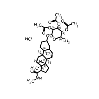 CNC(=O)C1CC[C@@]2(N)[C@@H]3CCC4CC(O[C@@H]5O[C@H](C)[C@@H](OC(C)=O)[C@H](OC(C)=O)[C@@H]5OC(C)=O)CC[C@]4(C)[C@@H]3CC[C@]12C.Cl